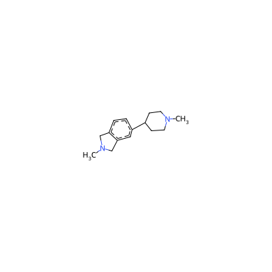 CN1CCC(c2ccc3c(c2)CN(C)C3)CC1